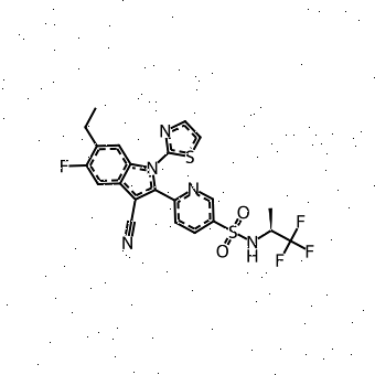 CCc1cc2c(cc1F)c(C#N)c(-c1ccc(S(=O)(=O)N[C@@H](C)C(F)(F)F)cn1)n2-c1nccs1